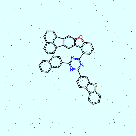 c1ccc2cc(-c3nc(-c4ccc5c(c4)sc4ccccc45)nc(-c4cccc5oc6cc7c(cc6c45)-c4cccc5cccc-7c45)n3)ccc2c1